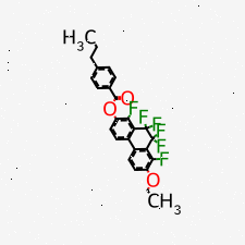 CCCc1ccc(C(=O)Oc2ccc3c(c2F)C(F)(F)C(F)(F)c2c-3ccc(OCC)c2F)cc1